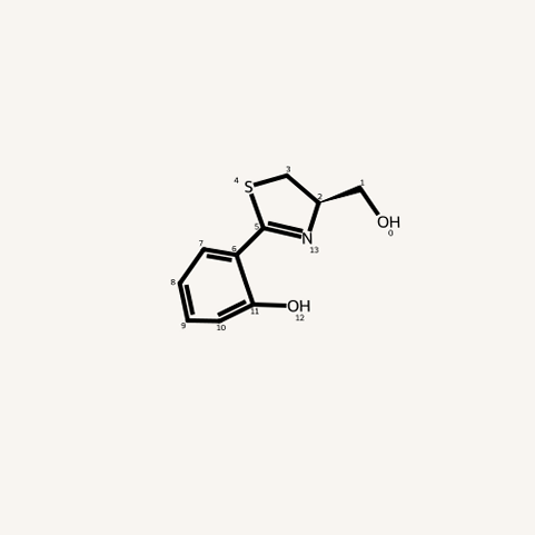 OC[C@@H]1CSC(c2ccccc2O)=N1